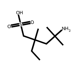 CCC(C)(CC(C)(C)N)CS(=O)(=O)O